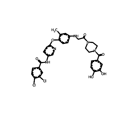 Cc1cc(NCC(=O)N2CCN(C(=O)c3ccc(O)c(O)c3)CC2)ccc1Oc1ccc(NC(=O)c2ccc(Cl)c(Cl)c2)cn1